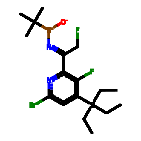 CC[Si](CC)(CC)c1cc(Br)nc(C(CF)=N[S+]([O-])C(C)(C)C)c1F